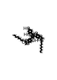 CCCCCCCCOC(=O)C(C)Oc1ccc(-c2nc(-c3ccc(O)cc3O)nc(-c3ccc(OC(C)C(=O)OCCCCCCCC)cc3O)n2)c(O)c1